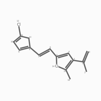 C=C(C)c1cc(/C=C/C2=CC=C(Cl)C2)oc1C